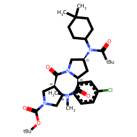 CN(C)C(=O)[C@@H]1C[C@H](N(C(=O)C(C)(C)C)C2CCC(C)(C)CC2)CN1C(=O)[C@@H]1CN(C(=O)OC(C)(C)C)C[C@H]1c1ccc(Cl)cc1